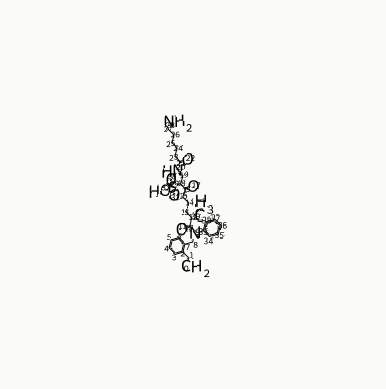 C=Cc1ccccc1CN(C(=O)CCCCC(=O)C(CNC(=O)CCCCCN)S(=O)(=O)O)c1ccccc1C